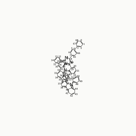 c1ccc(-c2ccc(-c3nc(-c4ccccc4)nc(-c4ccccc4-n4c5ccccc5c5ccc6c7ccc8c9ccccc9n(-c9ccccc9-c9ccccc9)c8c7oc6c54)n3)cc2)cc1